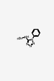 CCCCNc1nnnn1-c1ccccc1